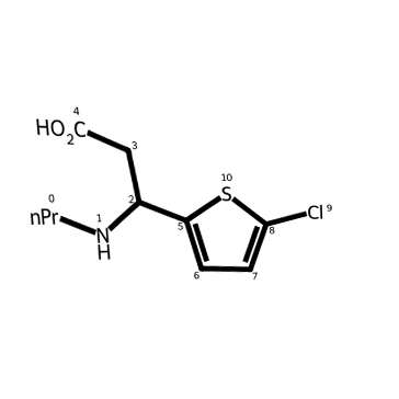 CCCNC(CC(=O)O)c1ccc(Cl)s1